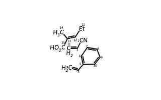 C=CC#N.C=Cc1ccccc1.CCC=C(C)C(=O)O